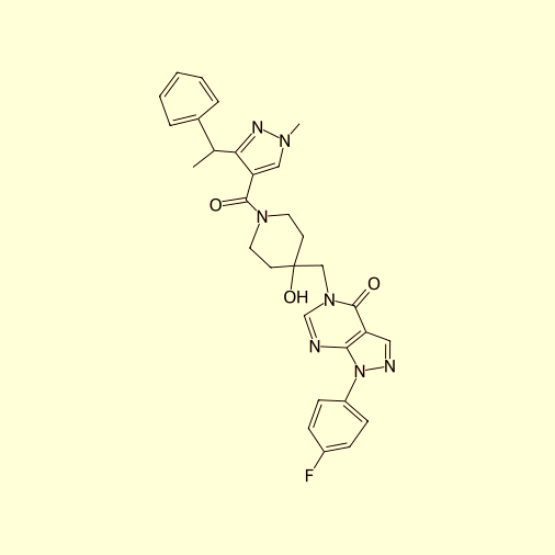 CC(c1ccccc1)c1nn(C)cc1C(=O)N1CCC(O)(Cn2cnc3c(cnn3-c3ccc(F)cc3)c2=O)CC1